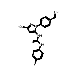 CC(C)(C)c1cc(NC(=O)Nc2ccc(Br)cc2)n(-c2ccc(CO)cc2)n1